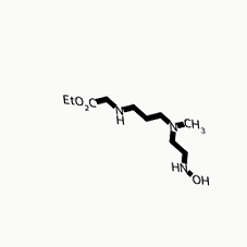 CCOC(=O)CNCCCN(C)CCNO